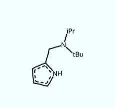 CC(C)N(Cc1ccc[nH]1)C(C)(C)C